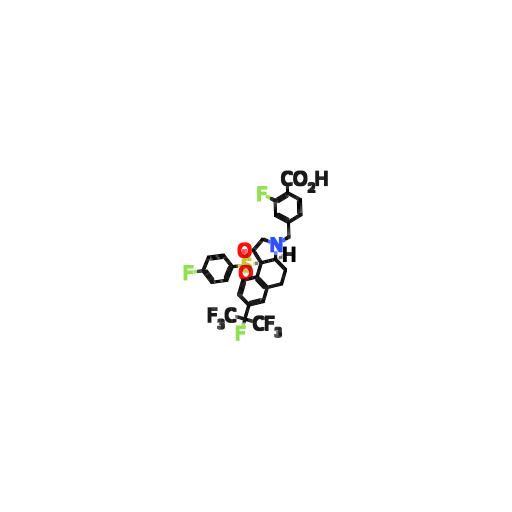 O=C(O)c1ccc(CN2CC[C@]3(S(=O)(=O)c4ccc(F)cc4)c4ccc(C(F)(C(F)(F)F)C(F)(F)F)cc4CC[C@H]23)cc1F